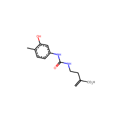 C=C(CCNC(=O)Nc1ccc(C)c(O)c1)C(=O)O